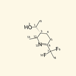 CC(O)[C@@H]1CCC(C(C)(F)F)=NC1C